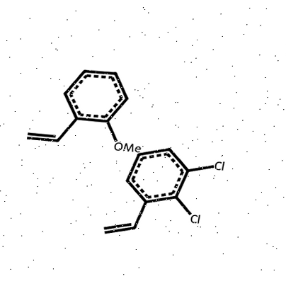 C=Cc1cccc(Cl)c1Cl.C=Cc1ccccc1OC